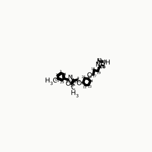 Cc1cccc(-c2nc(CO[C@H]3CCC[C@@H](OCCCc4nn[nH]n4)C3)c(C)o2)c1